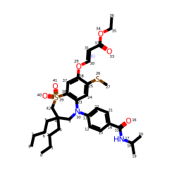 CCCCC1(CCCC)CN(c2ccc(C(=O)NC(C)C)cc2)c2cc(SC)c(O/C=C/C(=O)OCC)cc2S(=O)(=O)C1